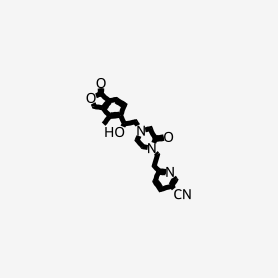 Cc1c(C(O)CN2CCN(CCc3ccc(C#N)cn3)C(=O)C2)ccc2c1COC2=O